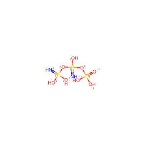 N=P(O)(O)OP(=N)(O)OP(=O)(O)O